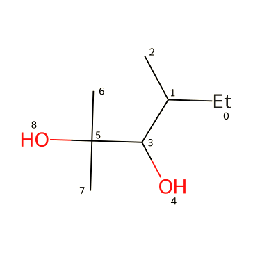 CCC(C)C(O)C(C)(C)O